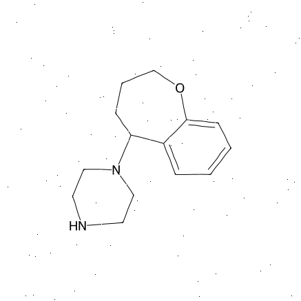 c1ccc2c(c1)OCCCC2N1CCNCC1